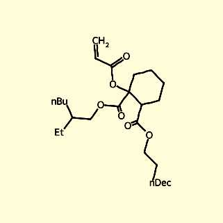 C=CC(=O)OC1(C(=O)OCC(CC)CCCC)CCCCC1C(=O)OCCCCCCCCCCCC